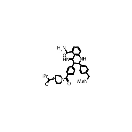 CNCc1ccc(C2Nc3cccc(C(N)=O)c3C(=N)C2c2ccc(C(=O)N3CCN(C(=O)C(C)C)CC3)cc2)cc1